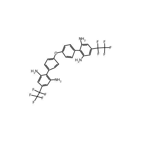 Nc1cc(C(F)(F)C(F)(F)F)cc(N)c1-c1ccc(Oc2ccc(-c3c(N)cc(C(F)(F)C(F)(F)F)cc3N)cc2)cc1